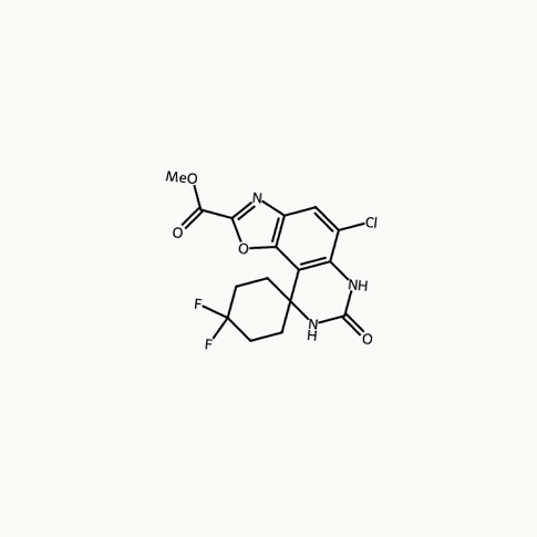 COC(=O)c1nc2cc(Cl)c3c(c2o1)C1(CCC(F)(F)CC1)NC(=O)N3